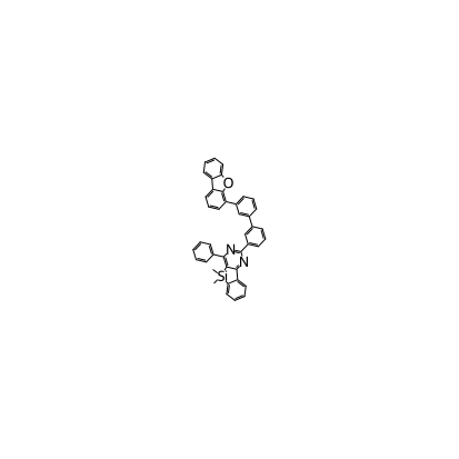 C[Si]1(C)c2ccccc2-c2nc(-c3cccc(-c4cccc(-c5cccc6c5oc5ccccc56)c4)c3)nc(-c3ccccc3)c21